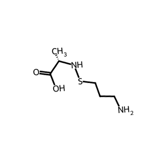 C[C@H](NSCCCN)C(=O)O